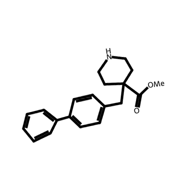 COC(=O)C1(Cc2ccc(-c3ccccc3)cc2)CCNCC1